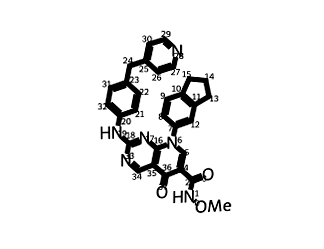 CONC(=O)c1cn(-c2ccc3c(c2)CCC3)c2nc(Nc3ccc(Cc4ccncc4)cc3)ncc2c1=O